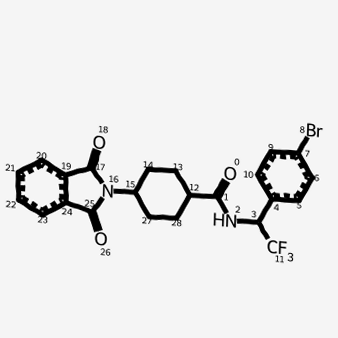 O=C(NC(c1ccc(Br)cc1)C(F)(F)F)C1CCC(N2C(=O)c3ccccc3C2=O)CC1